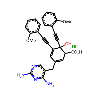 COc1ccccc1C#CC1=CC(Cc2cnc(N)nc2N)=CC(C(=O)O)C1(O)C#Cc1ccccc1OC.Cl